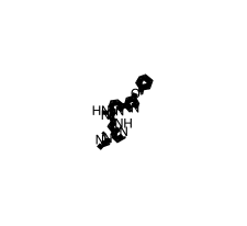 Cc1cn(-c2ccnc3[nH]c(-c4n[nH]c5ccc(-c6cncc(OCc7ccccc7)c6)nc45)cc23)cn1